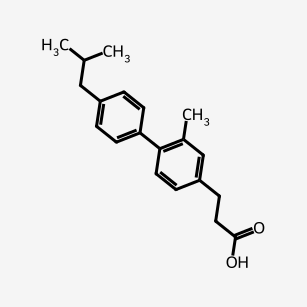 Cc1cc(CCC(=O)O)ccc1-c1ccc(CC(C)C)cc1